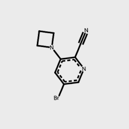 N#Cc1ncc(Br)cc1N1CCC1